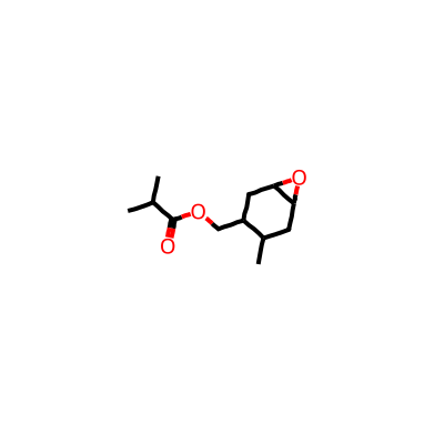 CC(C)C(=O)OCC1CC2OC2CC1C